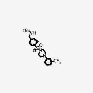 CC(C)(C)NCc1ccc(S(=O)(=O)N2CCN(c3cccc(C(F)(F)F)c3)CC2)cc1